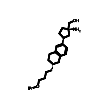 CC(C)OCCCC[C@@H]1CCc2cc([C@H]3CC[C@](N)(CO)C3)ccc2C1